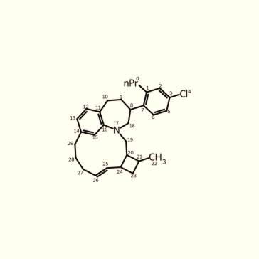 CCCc1cc(Cl)ccc1C1CCc2ccc3cc2N(C1)CC1C(C)CC1/C=C/CCC3